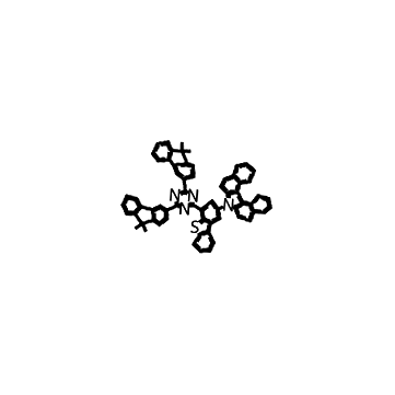 CC1(C)c2ccccc2-c2cc(-c3nc(-c4ccc5c(c4)-c4ccccc4C5(C)C)nc(-c4cc(-n5c6ccc7ccccc7c6c6c7ccccc7ccc65)cc5c4sc4ccccc45)n3)ccc21